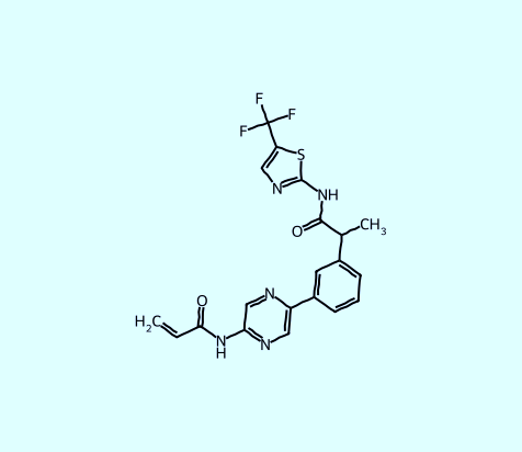 C=CC(=O)Nc1cnc(-c2cccc(C(C)C(=O)Nc3ncc(C(F)(F)F)s3)c2)cn1